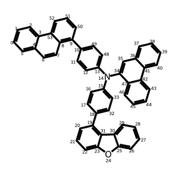 c1ccc2c(c1)ccc1c(-c3ccc(N(c4ccc(-c5cccc6oc7ccccc7c56)cc4)c4cc5ccccc5c5ccccc45)cc3)cccc12